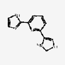 C1=C(c2cccc(-c3ncc[nH]3)n2)NCN1